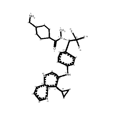 CN(C(=O)C1CCC(CN)CC1)[C@@H](c1ccc(Nc2cnc3cccnc3c2C2CC2)cc1)C(F)(F)F